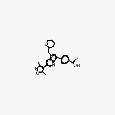 Cc1noc(C)c1-c1cnc2c(-c3ccc(C(=O)O)cc3)cn(CC3CCCCO3)c2c1